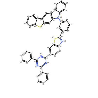 c1ccc(-c2nc(-c3ccccc3)nc(-c3ccc4nc(-c5cccc(-n6c7ccccc7c7cc8c(cc76)sc6ccccc68)c5)sc4c3)n2)cc1